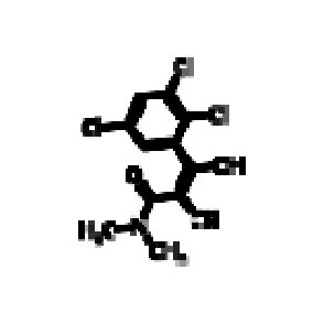 CN(C)C(=O)C(C#N)=C(O)c1cc(Cl)cc(Cl)c1Cl